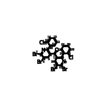 O=C(c1cc(Br)c(Br)nc1-c1ccccc1Cl)c1cc(Br)c(Br)nc1-c1ccccc1Cl